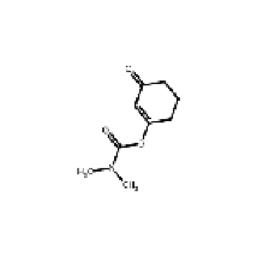 CN(C)C(=O)OC1=CC(=O)CCC1